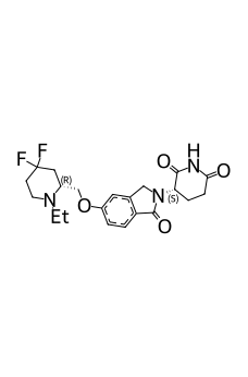 CCN1CCC(F)(F)C[C@@H]1COc1ccc2c(c1)CN([C@H]1CCC(=O)NC1=O)C2=O